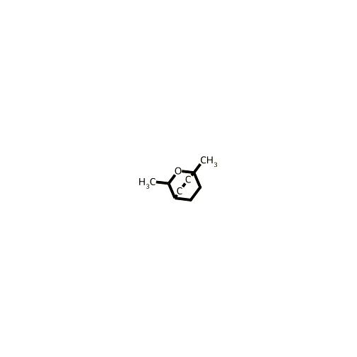 CC1OC2(C)CCC1CC2